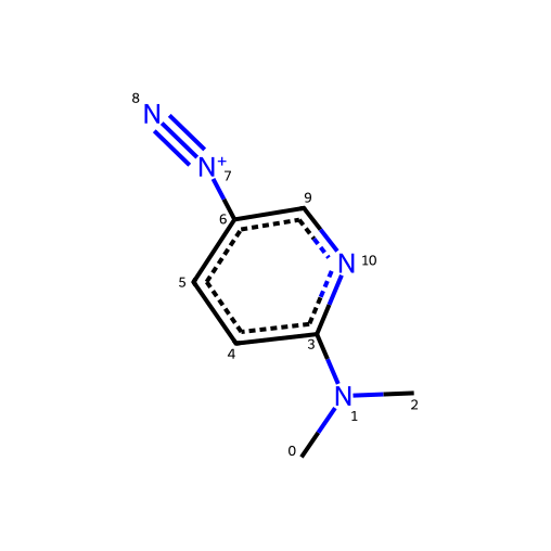 CN(C)c1ccc([N+]#N)cn1